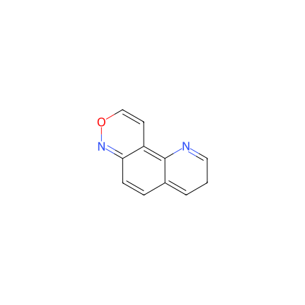 C1=Cc2c3c(ccc2=NO1)=CCC=N3